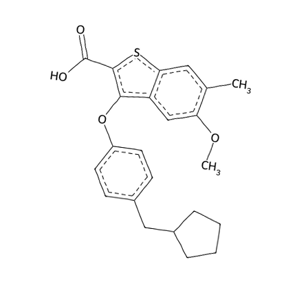 COc1cc2c(Oc3ccc(CC4CCCC4)cc3)c(C(=O)O)sc2cc1C